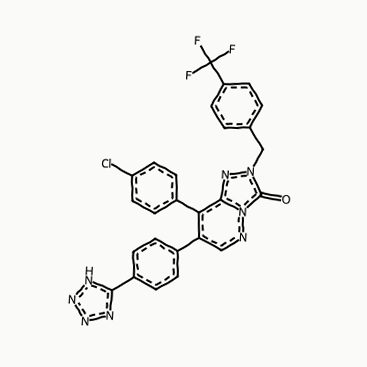 O=c1n(Cc2ccc(C(F)(F)F)cc2)nc2c(-c3ccc(Cl)cc3)c(-c3ccc(-c4nnn[nH]4)cc3)cnn12